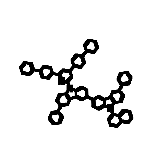 c1ccc(-c2ccc(-c3cc(-c4ccc(-c5ccccc5)cc4)nc(-n4c5ccc(-c6ccccc6)cc5c5cc(-c6ccc7c(c6)c6cc(-c8ccccc8)ccc6n7-c6cccc7ccccc67)ccc54)c3)cc2)cc1